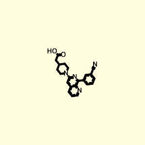 N#Cc1cccc(-c2nc(N3CCC(CC(=O)O)CC3)cc3cccnc23)c1